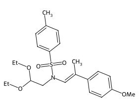 CCOC(CN(C=C(C)c1ccc(OC)cc1)S(=O)(=O)c1ccc(C)cc1)OCC